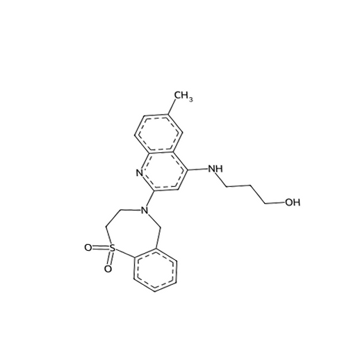 Cc1ccc2nc(N3CCS(=O)(=O)c4ccccc4C3)cc(NCCCO)c2c1